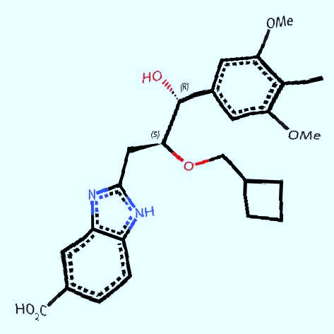 COc1cc([C@@H](O)[C@H](Cc2nc3cc(C(=O)O)ccc3[nH]2)OCC2CCC2)cc(OC)c1C